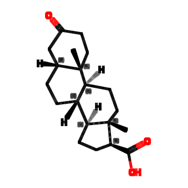 C[C@]12CCC(=O)C[C@H]1CC[C@@H]1[C@@H]2CC[C@]2(C)[C@@H](C(=O)O)CC[C@@H]12